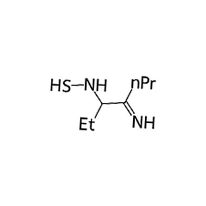 CCCC(=N)C(CC)NS